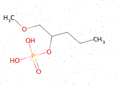 CCCC(COC)OP(=O)(O)O